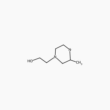 CC1CN(CCO)CC[N]1